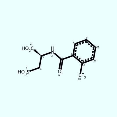 O=C(N[C@@H](CS(=O)(=O)O)C(=O)O)c1ccccc1C(F)(F)F